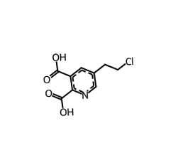 O=C(O)c1cc(CCCl)cnc1C(=O)O